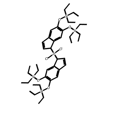 CC[Si](CC)(CC)Oc1cc2c(cc1O[Si](CC)(CC)CC)[CH]([Zr]([Cl])([Cl])[CH]1C=Cc3cc(O[Si](CC)(CC)CC)c(O[Si](CC)(CC)CC)cc31)C=C2